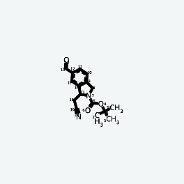 CC(C)(C)OC(=O)N1Cc2ccc(C=O)cc2C1CC#N